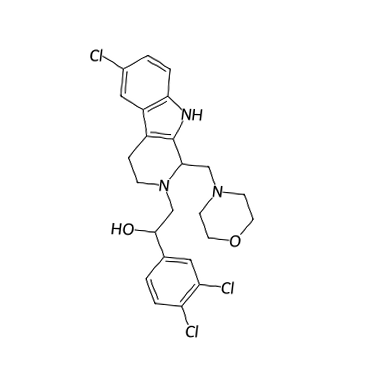 OC(CN1CCc2c([nH]c3ccc(Cl)cc23)C1CN1CCOCC1)c1ccc(Cl)c(Cl)c1